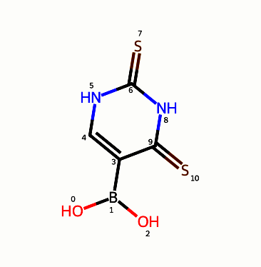 OB(O)c1c[nH]c(=S)[nH]c1=S